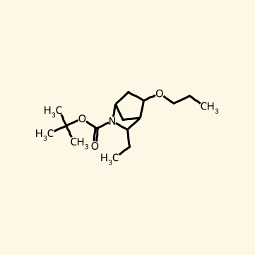 CCCOC1CC2CC1C(CC)N2C(=O)OC(C)(C)C